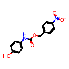 O=C(Nc1ccc(O)cc1)OCc1ccc([N+](=O)[O-])cc1